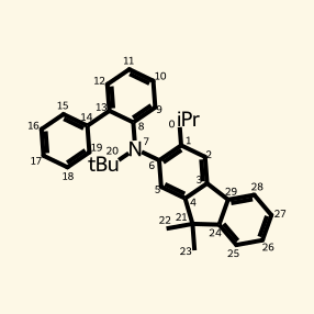 CC(C)c1cc2c(cc1N(c1ccccc1-c1ccccc1)C(C)(C)C)C(C)(C)c1ccccc1-2